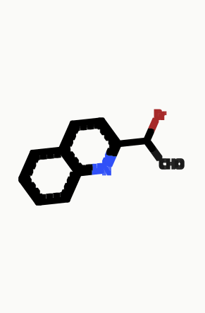 O=CC(Br)c1ccc2ccccc2n1